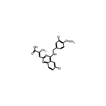 COc1ccc(CNc2nc(/C=C(\C)C(=O)O)nc3ccc(Cl)cc23)cc1Cl